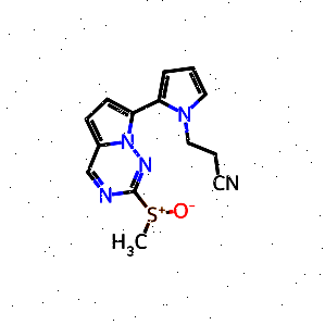 C[S+]([O-])c1ncc2ccc(-c3cccn3CCC#N)n2n1